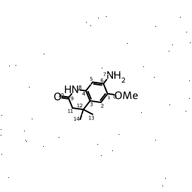 COc1cc2c(cc1N)NC(=O)CC2(C)C